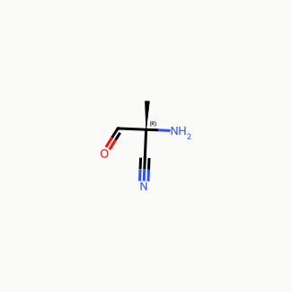 C[C@@](N)(C#N)C=O